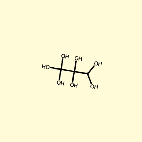 O[C](O)C(O)(O)C(O)(O)O